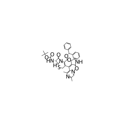 Cc1cnc(C(=C2CCNC2=O)C2=C(C(=O)OC(c3ccccc3)c3ccccc3)N3C(=O)[C@@H](NC(=O)OC(C)(C)C)[C@H]3SC2)c(C)n1